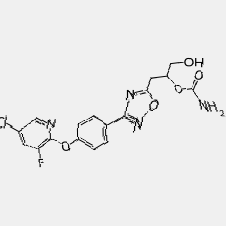 NC(=O)OC(CO)Cc1nc(-c2ccc(Oc3ncc(Cl)cc3F)cc2)no1